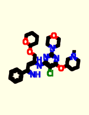 CN1CCCC(Oc2nc(N3CCOCC3)nc(N/C(=C\C(=N)c3ccccc3)COC3CCCCO3)c2Cl)C1